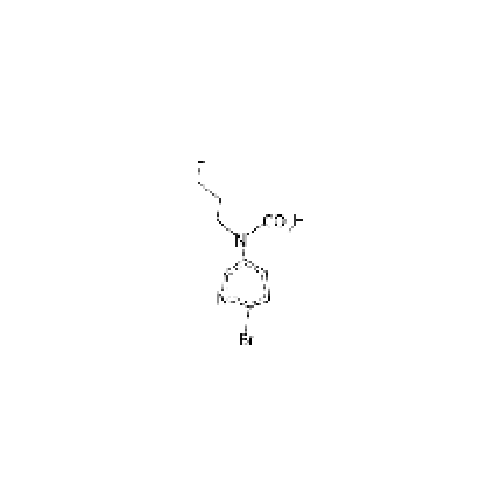 O=C(O)N(CCCF)c1ccc(Br)nc1